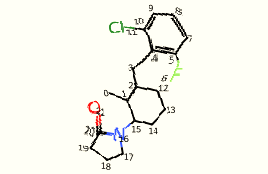 CC1C(Cc2c(F)cccc2Cl)CCCC1N1CCCC1=O